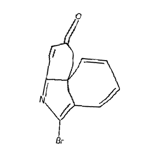 O=C1C=CC2=NC(Br)=C3C=CC=CC23C1